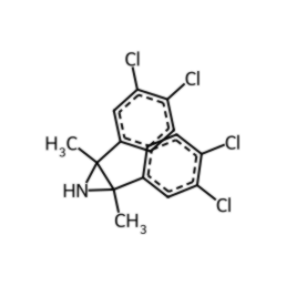 CC1(c2ccc(Cl)c(Cl)c2)NC1(C)c1ccc(Cl)c(Cl)c1